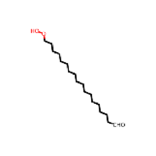 O=CCCCCCCCCCCCCCCCCCOO